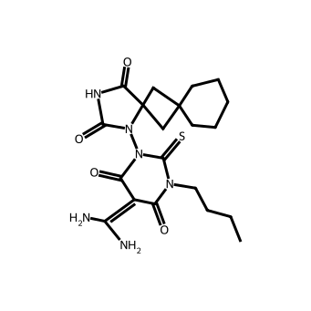 CCCCN1C(=O)C(=C(N)N)C(=O)N(N2C(=O)NC(=O)C23CC2(CCCCC2)C3)C1=S